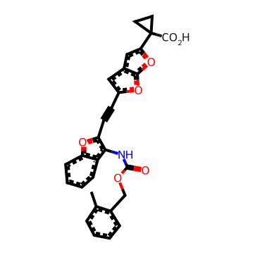 Cc1ccccc1COC(=O)Nc1c(C#Cc2cc3cc(C4(C(=O)O)CC4)oc3o2)oc2ccccc12